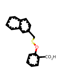 O=C(O)c1ccccc1OSCc1ccc2ccccc2c1